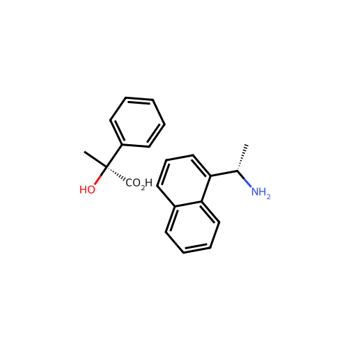 C[C@@](O)(C(=O)O)c1ccccc1.C[C@H](N)c1cccc2ccccc12